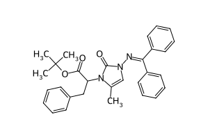 Cc1cn(N=C(c2ccccc2)c2ccccc2)c(=O)n1C(Cc1ccccc1)C(=O)OC(C)(C)C